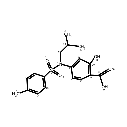 Cc1ccc(S(=O)(=O)N(CC(C)C)c2ccc(C(=O)O)c(O)c2)cc1